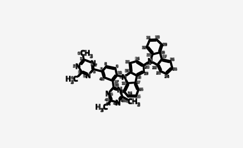 Cc1nc(C)nc(-c2ccc(-n3c4ccccc4c4cc(-n5c6ccccc6c6ccccc65)ccc43)c(-c3nc(C)nc(C)n3)c2)n1